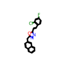 Fc1ccc(/C=C/c2nnc(Cc3ccc4ccccc4c3)o2)c(Cl)c1